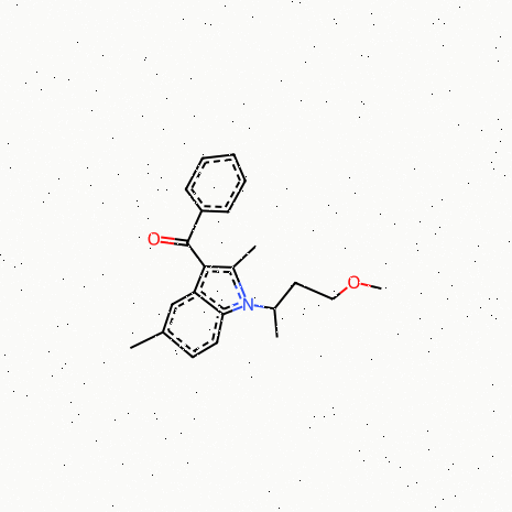 COCCC(C)n1c(C)c(C(=O)c2ccccc2)c2cc(C)ccc21